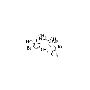 Cc1cc(Br)c(O)c(CN(C)CCN(C)Cc2cc(C)cc(Br)c2O)c1